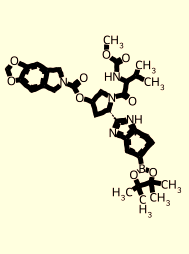 COC(=O)NC(C(=O)N1CC(OC(=O)N2Cc3cc4c(cc3C2)OCO4)C[C@H]1c1nc2cc(B3OC(C)(C)C(C)(C)O3)ccc2[nH]1)C(C)C